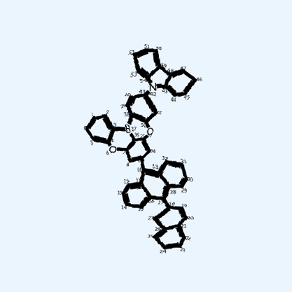 c1ccc2c(c1)Oc1cc(-c3c4ccccc4c(-c4ccc5ccccc5c4)c4ccccc34)cc3c1B2c1ccc(-n2c4ccccc4c4ccccc42)cc1O3